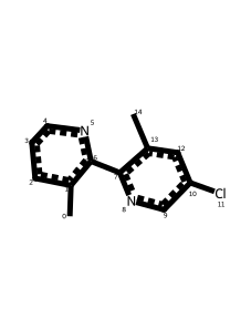 Cc1cccnc1-c1ncc(Cl)cc1C